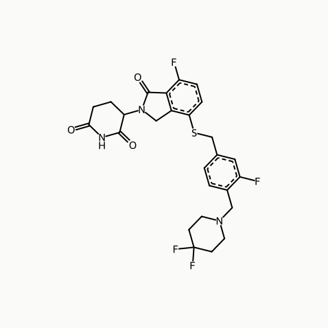 O=C1CCC(N2Cc3c(SCc4ccc(CN5CCC(F)(F)CC5)c(F)c4)ccc(F)c3C2=O)C(=O)N1